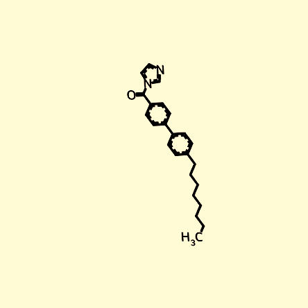 CCCCCCCCc1ccc(-c2ccc(C(=O)n3ccnc3)cc2)cc1